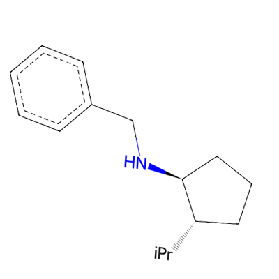 CC(C)[C@H]1CCC[C@@H]1NCc1ccccc1